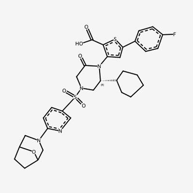 O=C(O)c1sc(-c2ccc(F)cc2)cc1N1C(=O)CN(S(=O)(=O)c2ccc(N3CC4CCC(C3)O4)nc2)C[C@H]1C1CCCCC1